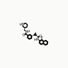 O=C(NC[C@@H]1CCCNC1)c1cccc([C@@H]2C[C@H]2C(=O)Nc2ccc3ccccc3c2F)c1